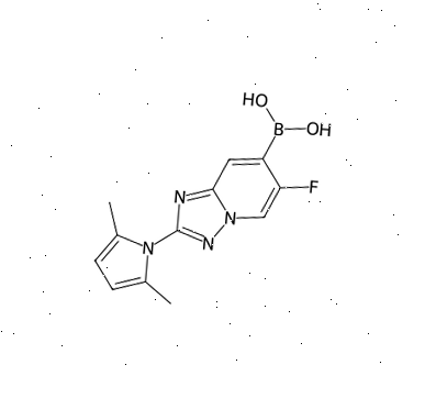 Cc1ccc(C)n1-c1nc2cc(B(O)O)c(F)cn2n1